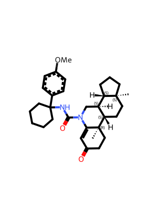 COc1ccc(C2(NC(=O)N3C[C@H]4[C@@H]5CCC[C@@]5(C)CC[C@@H]4[C@@]4(C)CCC(=O)C=C34)CCCCC2)cc1